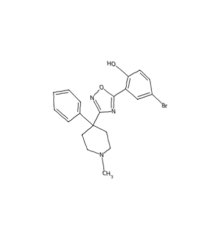 CN1CCC(c2ccccc2)(c2noc(-c3cc(Br)ccc3O)n2)CC1